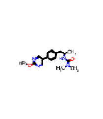 CCCOc1ncc(-c2ccc(CC(C)NC(=O)N(C)C)cc2)cn1